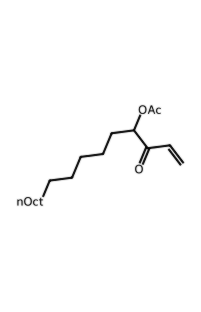 C=CC(=O)C(CCCCCCCCCCCCC)OC(C)=O